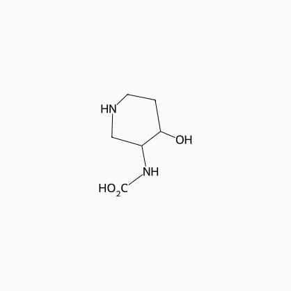 O=C(O)NC1CNCCC1O